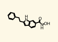 O=C(NO)c1ccc2cc(CCc3ccccc3)[nH]c2c1